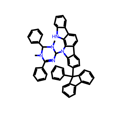 CN1C(c2ccccc2)=NC(n2c3cc(C4(c5ccccc5)c5ccccc5-c5ccccc54)ccc3c3ccc4c5ccccc5[nH]c4c32)N(C)C1c1ccccc1